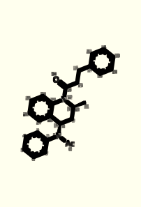 CC(=O)N(c1ccccc1)[C@@H]1C[C@H](C)N(C(=O)CCc2ccccc2)c2ccccc21